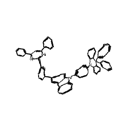 c1ccc(-c2cc(-c3ccccc3)nc(-c3cccc(-c4ccc5c(c4)c4ccccc4n5-c4ccc(N5c6ccccc6C(c6ccccc6)(c6ccccc6)c6ccccc65)cc4)c3)n2)cc1